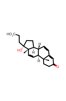 C[C@]12CCC(=O)C=C1C=C[C@@H]1[C@@H]2C=C[C@@]2(C)[C@H]1CC[C@]2(O)CCC(=O)O